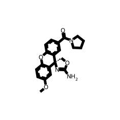 COc1ccc2c(c1)[C@@]1(COC(N)=N1)c1cc(C(=O)N3CCCC3)ccc1O2